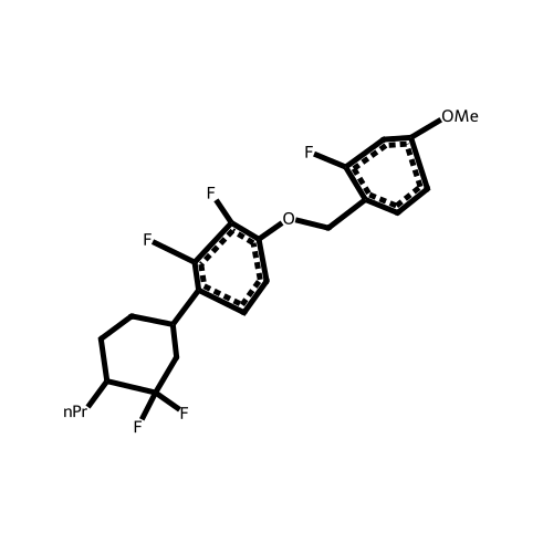 CCCC1CCC(c2ccc(OCc3ccc(OC)cc3F)c(F)c2F)CC1(F)F